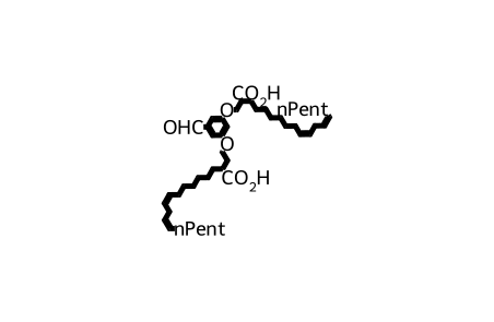 CCCCC/C=C\C/C=C\CCCCCCC(CCOc1cc(C=O)cc(OCCC(CCCCCC/C=C\C/C=C\CCCCC)C(=O)O)c1)C(=O)O